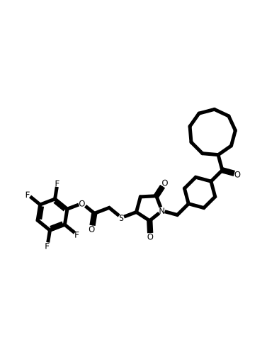 O=C(CSC1CC(=O)N(CC2CCC(C(=O)C3CCCCCCCC3)CC2)C1=O)Oc1c(F)c(F)cc(F)c1F